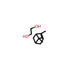 CC1=CCC2CC1C2(C)C.OCCO